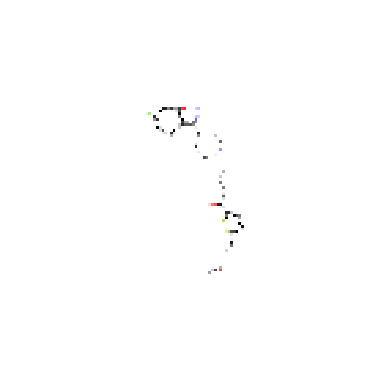 CC(=O)NCc1ccc(C(O)CCCN2CCC(c3noc4cc(F)ccc34)CC2)s1